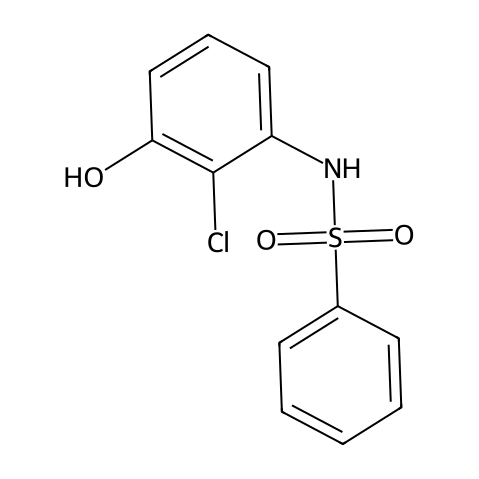 O=S(=O)(Nc1cccc(O)c1Cl)c1ccccc1